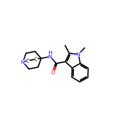 Cc1c(C(=O)NC23CCN(CC2)CC3)c2ccccc2n1C